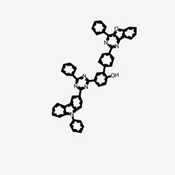 Oc1ccc(-c2nc(-c3ccccc3)nc(-c3ccc4c(c3)c3ccccc3n4-c3ccccc3)n2)cc1-c1ccc(-c2nc(-c3ccccc3)c3oc4ccccc4c3n2)cc1